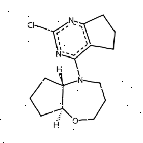 Clc1nc2c(c(N3CCCO[C@H]4CCC[C@@H]43)n1)CCC2